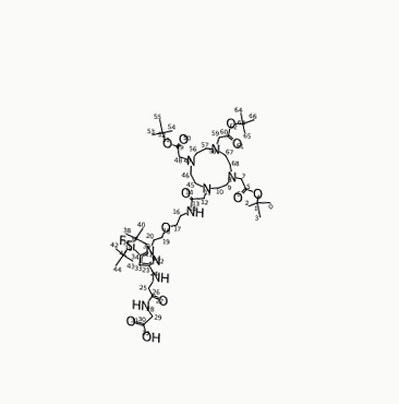 CC(C)(C)OC(=O)CN1CCN(CC(=O)NCCOCCn2nc(NCC(=O)NCC(=O)O)cc2[Si](F)(C(C)(C)C)C(C)(C)C)CCN(CC(=O)OC(C)(C)C)CCN(CC(=O)OC(C)(C)C)CC1